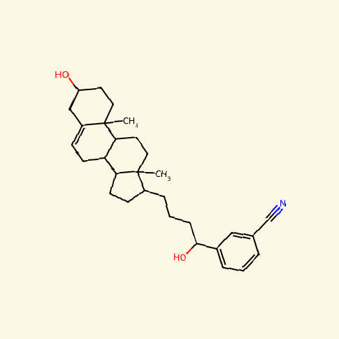 CC12CCC(O)CC1=CCC1C2CCC2(C)C(CCCC(O)c3cccc(C#N)c3)CCC12